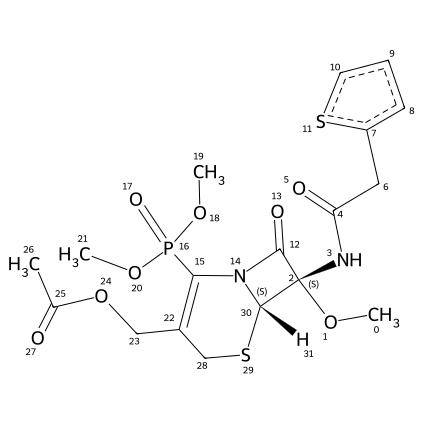 CO[C@@]1(NC(=O)Cc2cccs2)C(=O)N2C(P(=O)(OC)OC)=C(COC(C)=O)CS[C@H]21